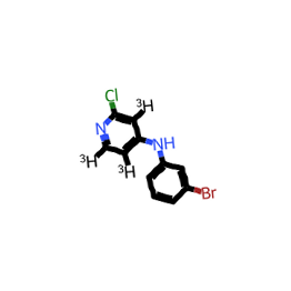 [3H]c1nc(Cl)c([3H])c(Nc2cccc(Br)c2)c1[3H]